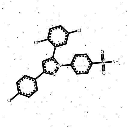 NS(=O)(=O)c1ccc(-n2nc(-c3ccc(Cl)cc3)cc2-c2cc(Cl)ccc2Cl)cc1